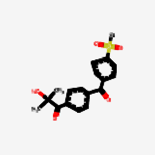 CCS(=O)(=O)c1ccc(C(=O)c2ccc(C(=O)C(C)(C)O)cc2)cc1